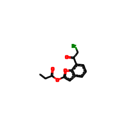 CCC(=O)Oc1cc2cccc(C(=O)CBr)c2o1